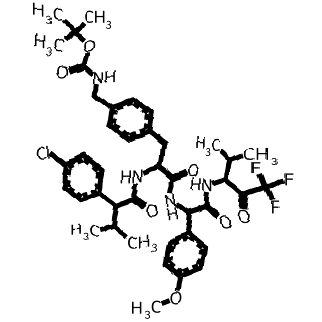 COc1ccc(C(NC(=O)C(Cc2ccc(CNC(=O)OC(C)(C)C)cc2)NC(=O)C(c2ccc(Cl)cc2)C(C)C)C(=O)NC(C(=O)C(F)(F)F)C(C)C)cc1